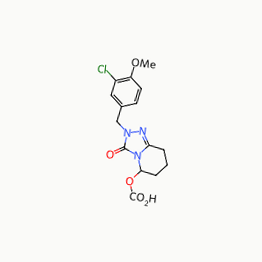 COc1ccc(Cn2nc3n(c2=O)C(OC(=O)O)CCC3)cc1Cl